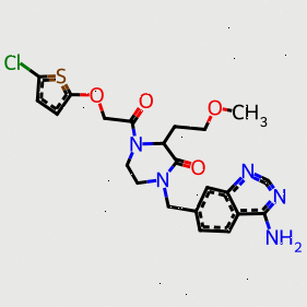 COCCC1C(=O)N(Cc2ccc3c(N)ncnc3c2)CCN1C(=O)COc1ccc(Cl)s1